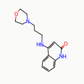 O=c1cc(NCCCN2CCOCC2)c2ccccc2[nH]1